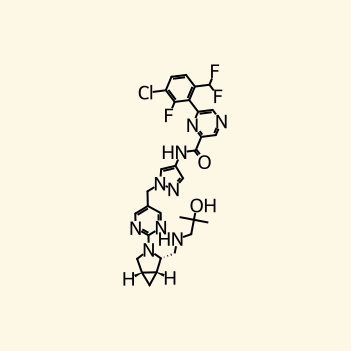 CC(C)(O)CNC[C@@H]1[C@@H]2C[C@@H]2CN1c1ncc(Cn2cc(NC(=O)c3cncc(-c4c(C(F)F)ccc(Cl)c4F)n3)cn2)cn1